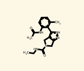 CCNC(=O)N1Cc2n[nH]c(-c3c(C)cccc3NC(C)=O)c2C1